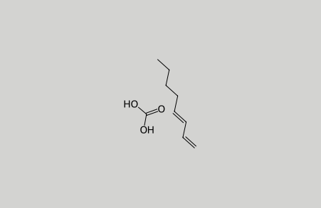 C=CC=CCCCC.O=C(O)O